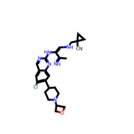 CC(=N)/C(=C\NCC1(C#N)CC1)Nc1ncc2cc(Cl)c(C3CCN(C4COC4)CC3)cc2n1